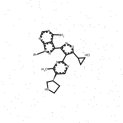 Cc1nc(-c2c(-c3nn(C(C)C)c4ncnc(N)c34)noc2C2CC2)ncc1[C@H]1CCNC1.Cl